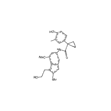 COc1cc(NC(=O)C2(c3ccc(O)c(C)c3)CC2)cc2cc(C(C)(C)C)n(CCO)c12